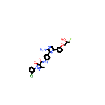 Cc1c(C(=O)Nc2ccc(-c3nc(-c4cccc(OCC(O)CF)c4)cnc3N)cc2)c(=O)n(-c2cccc(Cl)c2)n1C